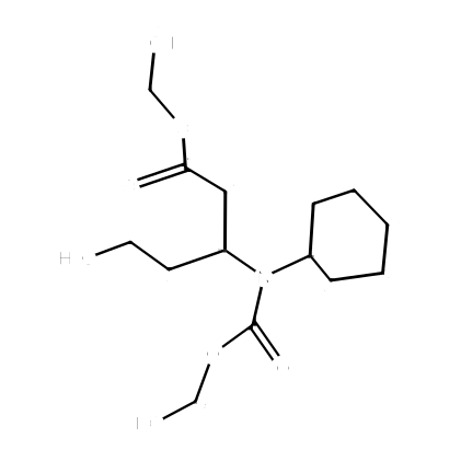 CCCC(CC(=O)OCC)N(C(=O)OCC)C1CCCCC1